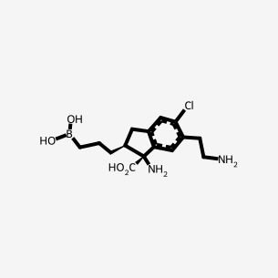 NCCc1cc2c(cc1Cl)C[C@H](CCCB(O)O)[C@]2(N)C(=O)O